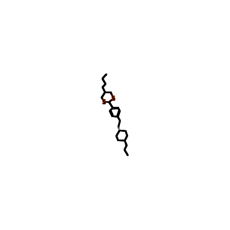 CCCCC1CSC(c2ccc(CC[C@H]3CC[C@H](CCC)CC3)cc2)SC1